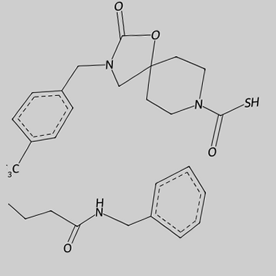 O=C(CCCl)NCc1ccccc1.O=C(S)N1CCC2(CC1)CN(Cc1ccc(C(F)(F)F)cc1)C(=O)O2